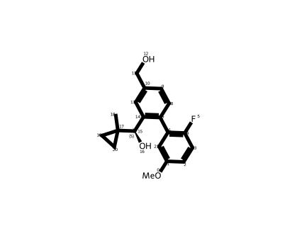 COc1ccc(F)c(-c2ccc(CO)cc2[C@@H](O)C2(C)CC2)c1